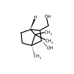 CC1(C)[C@@H]2CC[C@]1(C)[C@@H](O)C2CO